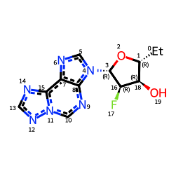 CC[C@H]1O[C@@H](n2cnc3c2ncn2ncnc32)[C@H](F)[C@@H]1O